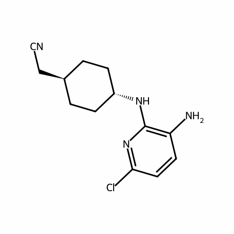 N#CC[C@H]1CC[C@H](Nc2nc(Cl)ccc2N)CC1